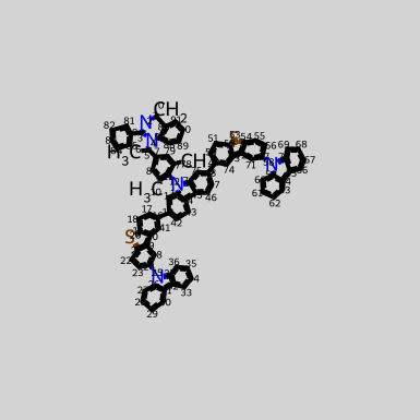 C=C(/N=C(\N=C(/C)c1cc(C)c(-n2c3cc(-c4ccc5sc6ccc(-n7c8ccccc8c8ccccc87)cc6c5c4)ccc3c3ccc(-c4ccc5sc6ccc(-n7c8ccccc8c8ccccc87)cc6c5c4)cc32)c(C)c1)c1ccccc1)c1ccccc1